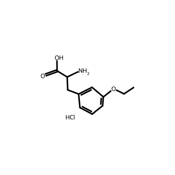 CCOc1cccc(CC(N)C(=O)O)c1.Cl